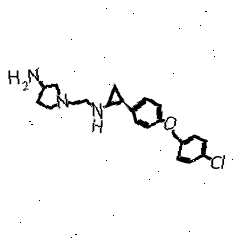 NC1CCN(CCN[C@@H]2C[C@H]2c2ccc(OCc3ccc(Cl)cc3)cc2)C1